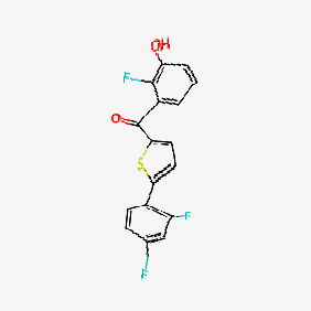 O=C(c1ccc(-c2ccc(F)cc2F)s1)c1cccc(O)c1F